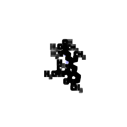 C=C/C(=C\C=C(/N)C(C)(C)O)c1cc2ccn(C)c(=O)c2c(NC(C)C)n1